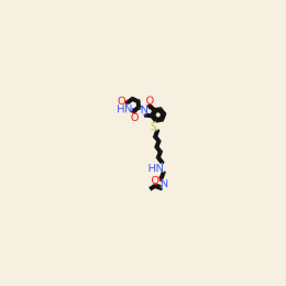 Cc1cnc(CNCCCCCCCSc2cccc3c2CN(C2CCC(=O)NC2=O)C3=O)o1